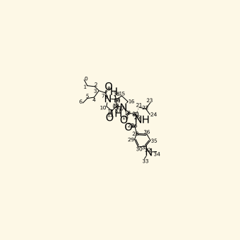 CCCC(CCC)C(=O)N1CC(=O)[C@@H]2[C@H]1CCN2C(=O)[C@H](CC(C)C)NC(=O)c1ccc(N(C)C)cc1